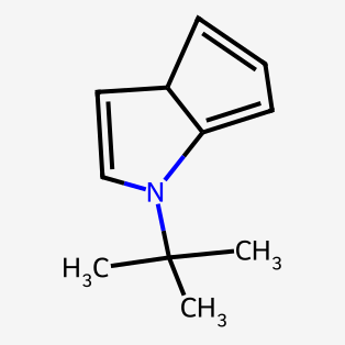 CC(C)(C)N1C=CC2C=CC=C21